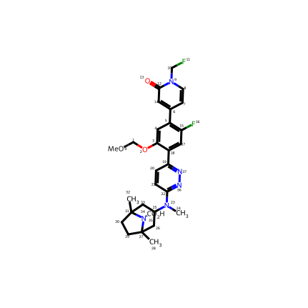 COCOc1cc(-c2ccn(CF)c(=O)c2)c(F)cc1-c1ccc(N(C)C2CC3(C)CCC(C)(C2)N3C(=O)O)nn1